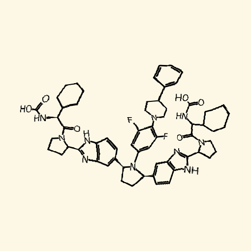 O=C(O)NC(C(=O)N1CCCC1c1nc2cc([C@H]3CC[C@@H](c4ccc5[nH]c(C6CCCN6C(=O)[C@@H](NC(=O)O)C6CCCCC6)nc5c4)N3c3cc(F)c(N4CCC(c5ccccc5)CC4)c(F)c3)ccc2[nH]1)C1CCCCC1